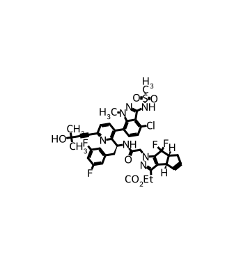 CCOC(=O)c1nn(CC(=O)N[C@@H](Cc2cc(F)cc(F)c2)c2nc(C#CC(C)(C)O)ccc2-c2ccc(Cl)c3c(NS(C)(=O)=O)nn(C)c23)c2c1[C@H]1C#CC[C@H]1C2(F)F